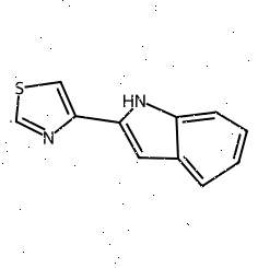 [c]1nc(-c2cc3ccccc3[nH]2)cs1